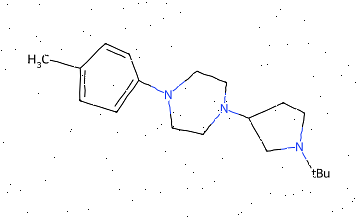 Cc1ccc(N2CCN(C3CCN(C(C)(C)C)C3)CC2)cc1